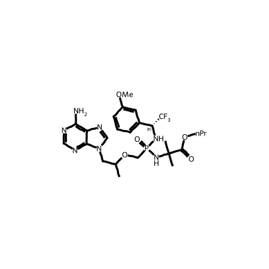 CCCOC(=O)C(C)(C)NP(=O)(COC(C)Cn1cnc2c(N)ncnc21)N[C@H](c1cccc(OC)c1)C(F)(F)F